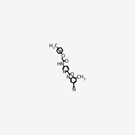 Cc1cc(C#N)cc2nc(-c3ccc(NC(=O)COC45CCC(C)(CC4)CC5)cn3)oc12